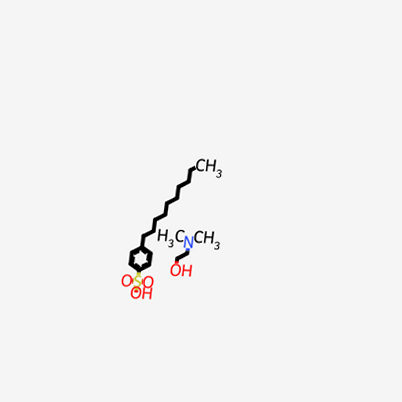 CCCCCCCCCCc1ccc(S(=O)(=O)O)cc1.CN(C)CCO